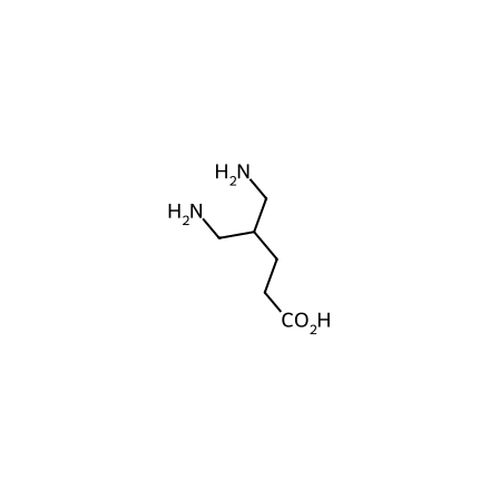 NCC(CN)CCC(=O)O